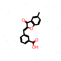 Cc1ccc2c(c1)C(=O)/C(=C/c1cccc(C(=O)O)c1)O2